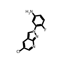 Nc1ccc(F)c(-n2cc3cc(Cl)cnc3n2)c1